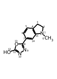 CN1CCc2ccc(-c3nnc(O)o3)cc21